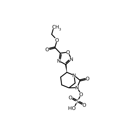 CCOC(=O)c1nc([C@@H]2CCC3CN2C(=O)N3OS(=O)(=O)O)no1